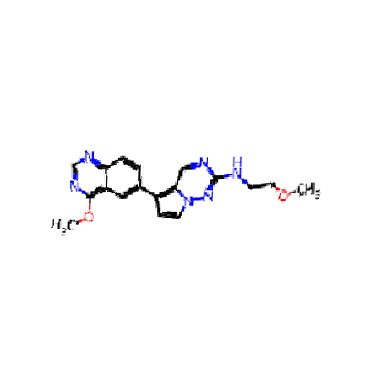 COCCNc1ncc2c(-c3ccc4ncnc(OC)c4c3)ccn2n1